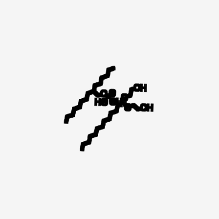 CCCCCCCCC(CCCCCC)COP(=O)(O)O.CCCCCCCCCCCCN(OCCO)OCCO